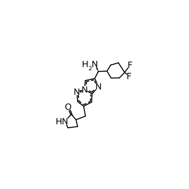 N[C@H](c1cn2ncc(CC3CCNC3=O)cc2n1)C1CCC(F)(F)CC1